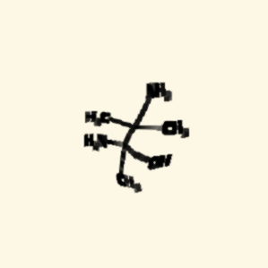 CC(C)(N)C(C)(N)O